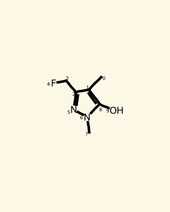 Cc1c(CF)nn(C)c1O